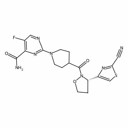 N#Cc1nc([C@@H]2CCON2C(=O)C2CCN(c3ncc(F)c(C(N)=O)n3)CC2)cs1